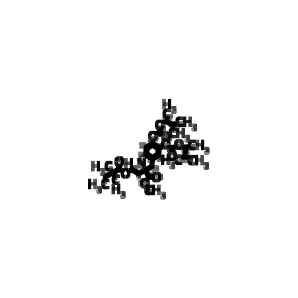 CCC(C)(C)C(=O)OCC[C@@](N)(Cc1ccc(OC(=O)O[C@@H](C)C(C)C)c(OC(=O)OC(C)C(C)C)c1)C(=O)OC